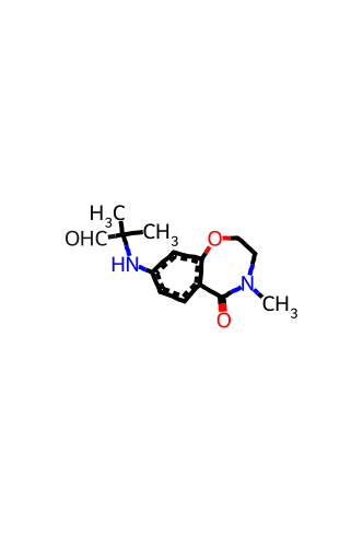 CN1CCOc2cc(NC(C)(C)C=O)ccc2C1=O